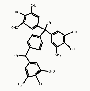 CCCC(c1ccc(C(CCC)(c2cc(C)c(O)c(C=O)c2)c2cc(C)c(O)c(C=O)c2)cc1)c1cc(C)c(O)c(C=O)c1